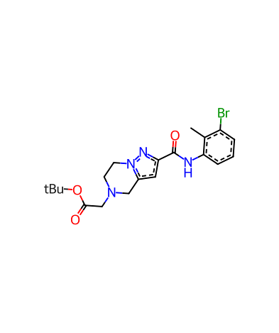 Cc1c(Br)cccc1NC(=O)c1cc2n(n1)CCN(CC(=O)OC(C)(C)C)C2